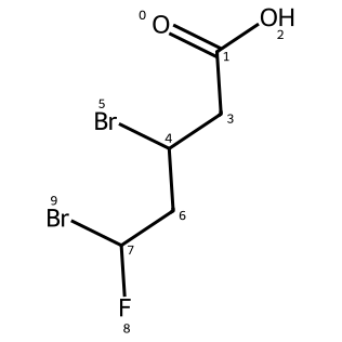 O=C(O)CC(Br)CC(F)Br